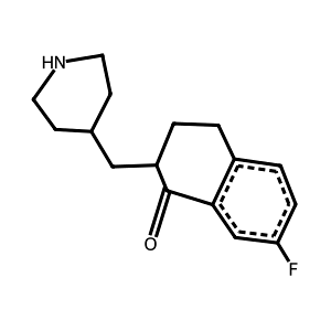 O=C1c2cc(F)ccc2CCC1CC1CCNCC1